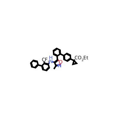 CCOC(=O)C1(c2ccc(-c3ccccc3-c3onc(C)c3Nc3cccc(-c4ccccc4)c3C(F)(F)F)cc2)CC1